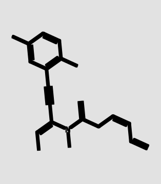 C=C/C=C\CC(=C)N(C)/C(C#Cc1cc(C)ccc1C)=C\C